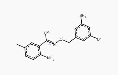 Bc1cc(Br)cc(CO/N=C(\CCC)c2cc(C)ccc2N)c1